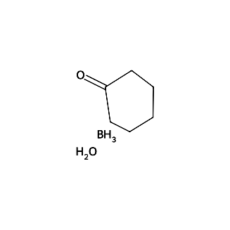 B.O.O=C1CCCCC1